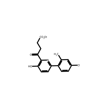 CCOC(=O)CCC(=O)c1nc(-c2ccc(Cl)cc2C)ccc1O